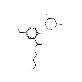 CNCCCNC(=O)c1cc(COC(C)=O)ccc1O[C@H]1O[C@H](C(=O)O)[C@@H](O)[C@H](O)[C@H]1O